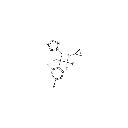 OC(Cn1cncn1)(c1ccc(F)cc1F)C(F)(F)SC1CC1